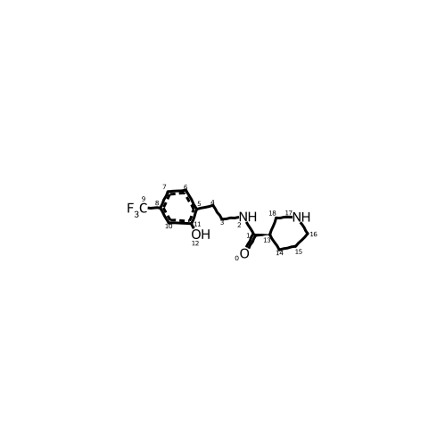 O=C(NCCc1ccc(C(F)(F)F)cc1O)[C@@H]1CCCNC1